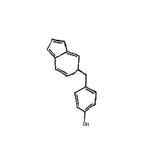 Oc1ccc(CC2C=CC3=CC=CC3=C2)cc1